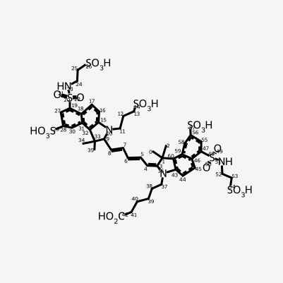 CC1(C)\C(=C/C=C/C=C/C2N(CCCS(=O)(=O)O)c3ccc4c(S(=O)(=O)NCCS(=O)(=O)O)cc(S(=O)(=O)O)cc4c3C2(C)C)N(CCCCCC(=O)O)c2ccc3c(S(=O)(=O)NCCS(=O)(=O)O)cc(S(=O)(=O)O)cc3c21